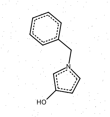 Oc1ccn(Cc2ccccc2)c1